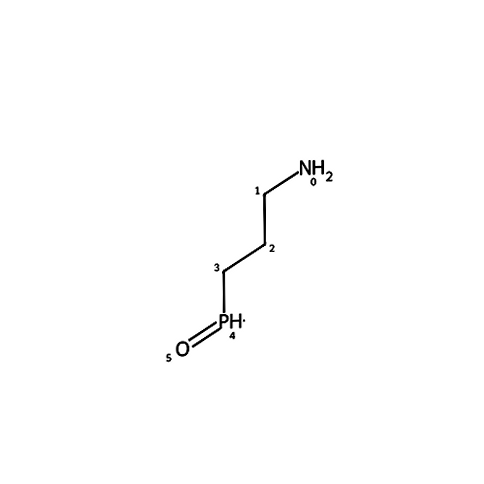 NCCC[PH]=O